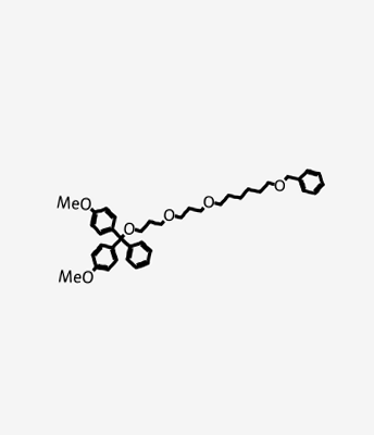 COc1ccc(C(OCCCOCCCOCCCCCCOCc2ccccc2)(c2ccccc2)c2ccc(OC)cc2)cc1